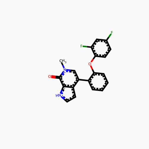 Cn1cc(-c2ccccc2Oc2ccc(F)cc2F)c2cc[nH]c2c1=O